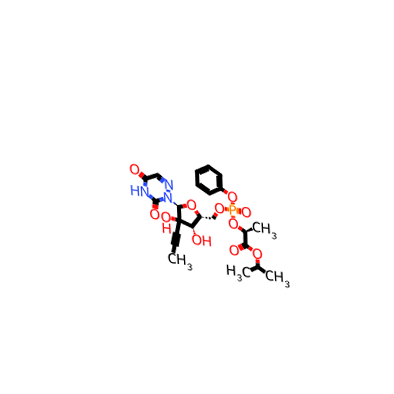 CC#CC1(O)[C@@H](O)[C@@H](COP(=O)(Oc2ccccc2)O[C@@H](C)C(=O)OC(C)C)O[C@H]1n1ncc(=O)[nH]c1=O